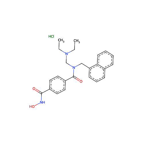 CCN(CC)CN(Cc1cccc2ccccc12)C(=O)c1ccc(C(=O)NO)cc1.Cl